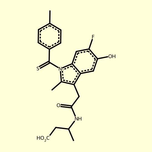 Cc1ccc(C(=S)n2c(C)c(CC(=O)NC(C)CC(=O)O)c3cc(O)c(F)cc32)cc1